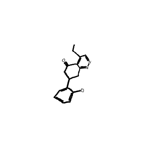 CCc1cnnc2c1C(=O)CC(c1ccccc1Cl)C2